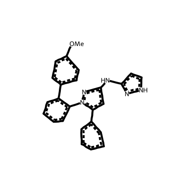 COc1ccc(-c2ccccc2-n2nc(Nc3cc[nH]n3)cc2-c2ccccc2)cc1